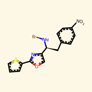 O=[N+]([O-])c1ccc(C[C@H](NBr)c2coc(-c3cccs3)n2)cc1